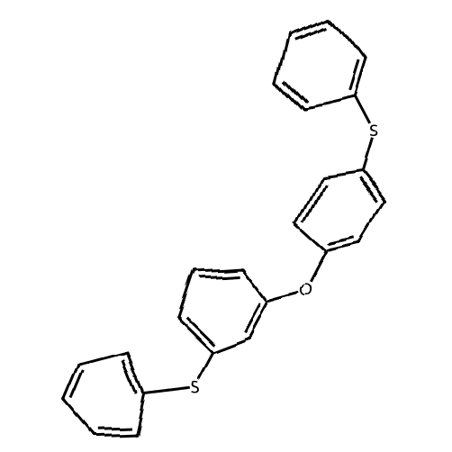 c1ccc(Sc2ccc(Oc3cccc(Sc4ccccc4)c3)cc2)cc1